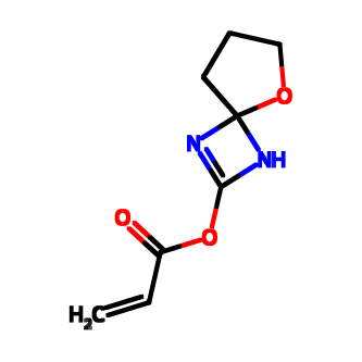 C=CC(=O)OC1=NC2(CCCO2)N1